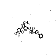 Cn1nc(C2CCC(=O)NC2=O)c2ccc(OCC(=O)Nc3cnn(-c4ccccc4)c3)cc21